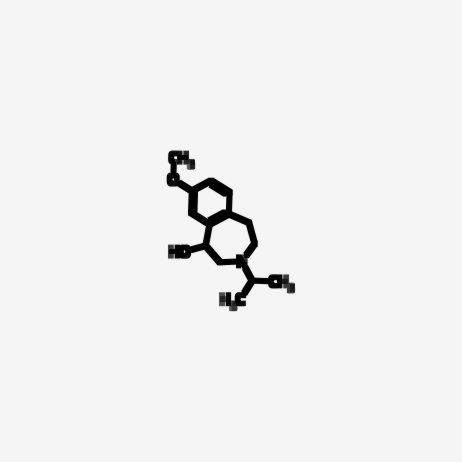 COc1ccc2c(c1)C(O)CN(C(C)C)CC2